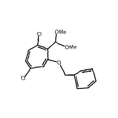 COC(OC)C1=C(Cl)C=C=C(Cl)C=C1OCc1ccccc1